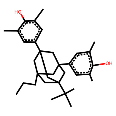 CCCC12CC3(c4cc(C)c(O)c(C)c4)CC(c4cc(C)c(O)c(C)c4)(C1)CC(C(C)(C)C)(C2)C3